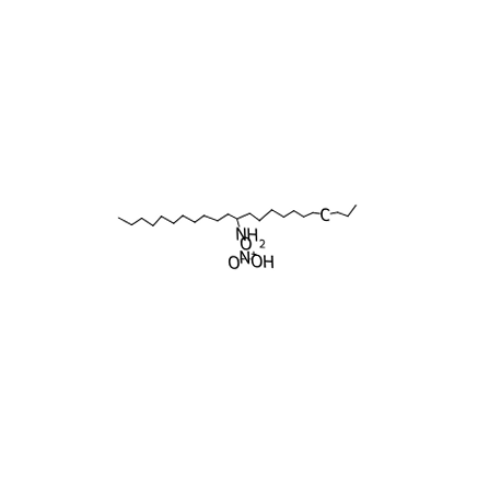 CCCCCCCCCCCC(N)CCCCCCCCCCC.O=[N+]([O-])O